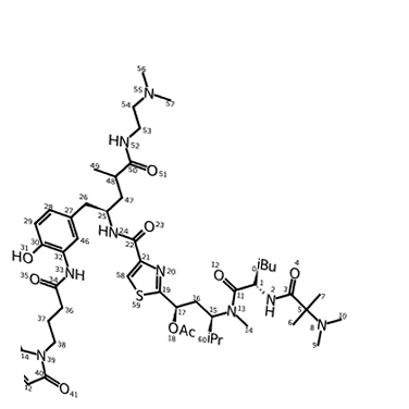 CC[C@H](C)[C@H](NC(=O)C(C)(C)N(C)C)C(=O)N(C)[C@H](C[C@@H](OC(C)=O)c1nc(C(=O)N[C@@H](Cc2ccc(O)c(NC(=O)CCCN3C(=O)C=CC3=O)c2)CC(C)C(=O)NCCN(C)C)cs1)C(C)C